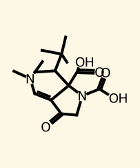 CC(C(C)(C)C)C1(C(=O)O)/C(=C\N(C)C)C(=O)CN1C(=O)O